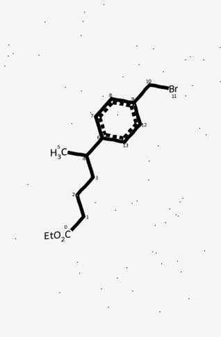 CCOC(=O)CCCC(C)c1ccc(CBr)cc1